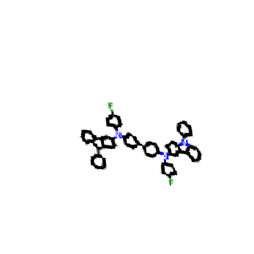 Fc1ccc(N(c2ccc(-c3ccc(N(c4ccc(F)cc4)c4ccc5c(c4)c4ccccc4n5-c4ccccc4)cc3)cc2)c2ccc3c(c2)-c2ccccc2C3c2ccccc2)cc1